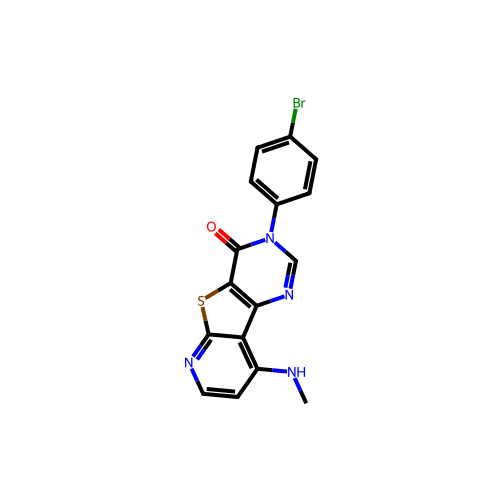 CNc1ccnc2sc3c(=O)n(-c4ccc(Br)cc4)cnc3c12